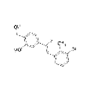 Cc1c(Br)cccc1C=C(F)c1ccc(CO)c(O)c1